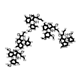 CCCC(=O)c1cnc2c(C)cccc2c1Nc1ccc(OC)cc1C.CCCC(=O)c1cnc2c(C)cccc2c1Nc1ccc(OC)cc1OC.CCCC(=O)c1cnc2c(C)cccc2c1Nc1ccccc1C.CCCC(=O)c1cnc2c(C)cccc2c1Nc1ccccc1OC.CCCC(=O)c1cnc2c(OC)cccc2c1Nc1ccc(OC)cc1C